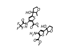 COC(=O)c1sc(C2(O)CCOC2C)cc1N.COC(=O)c1sc(C2(O)CCOC2C)cc1NC(=O)C(F)(F)F